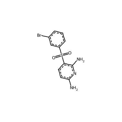 Nc1ccc(S(=O)(=O)c2cccc(Br)c2)c(N)n1